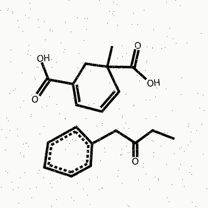 CC1(C(=O)O)C=CC=C(C(=O)O)C1.CCC(=O)Cc1ccccc1